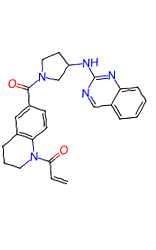 C=CC(=O)N1CCCc2cc(C(=O)N3CCC(Nc4ncc5ccccc5n4)C3)ccc21